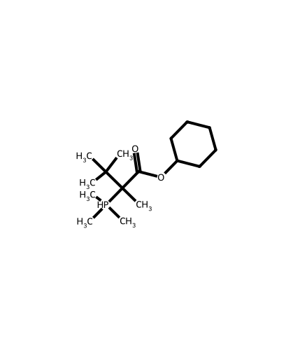 CC(C)(C)C(C)(C(=O)OC1CCCCC1)[PH](C)(C)C